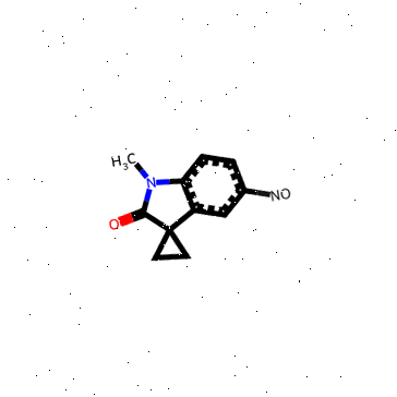 CN1C(=O)C2(CC2)c2cc(N=O)ccc21